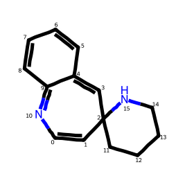 C1=CC2(C=c3ccccc3=N1)CCCCN2